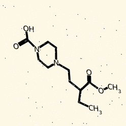 CCC(CCN1CCN(C(=O)O)CC1)C(=O)OC